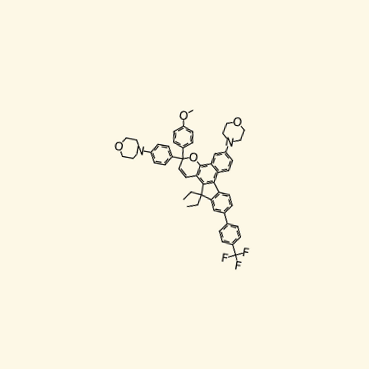 CCC1(CC)c2cc(-c3ccc(C(F)(F)F)cc3)ccc2-c2c1c1c(c3cc(N4CCOCC4)ccc23)OC(c2ccc(OC)cc2)(c2ccc(N3CCOCC3)cc2)C=C1